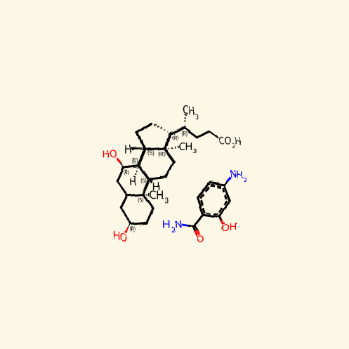 C[C@H](CCC(=O)O)[C@H]1CC[C@H]2[C@@H]3[C@H](O)CC4C[C@H](O)CC[C@]4(C)[C@H]3CC[C@]12C.NC(=O)c1ccc(N)cc1O